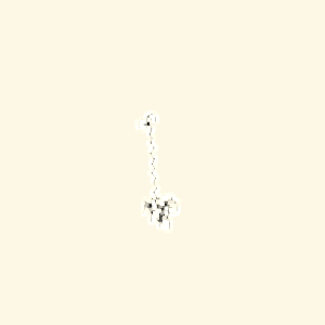 COC(=O)CCCCCCCCCCCCCCCn1c(C)nc2nc(Cl)nc(S(=O)(=O)C(C)C)c21